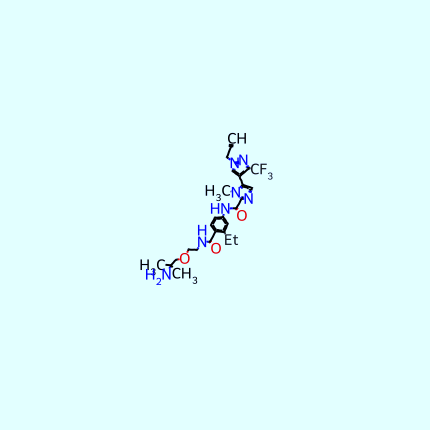 C#CCn1cc(-c2cnc(C(=O)Nc3ccc(C(=O)NCCOCC(C)(C)N)c(CC)c3)n2C)c(C(F)(F)F)n1